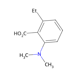 CCc1cccc(N(C)C)c1C(=O)O